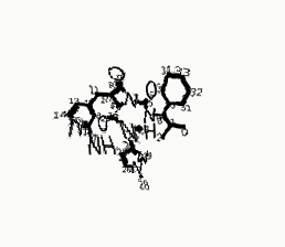 CC(C)[C@@H](NC(=O)N1C(=O)C(Cc2ccnc(N)c2)[C@H]1C(=O)N(C)c1ccn(C)n1)C1CCCCC1